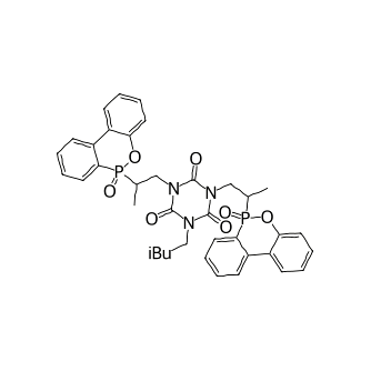 CCC(C)Cn1c(=O)n(CC(C)P2(=O)Oc3ccccc3-c3ccccc32)c(=O)n(CC(C)P2(=O)Oc3ccccc3-c3ccccc32)c1=O